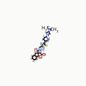 CN(C)C1CN(c2ccc(-c3csc(CNC(=O)C4(CC(=O)O)Cc5ccccc5C4)n3)cn2)C1